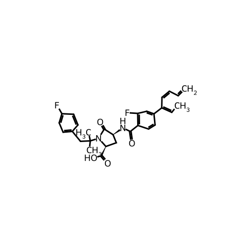 C=C/C=C\C(=C/C)c1ccc(C(=O)N[C@H]2C[C@@H](C(=O)O)N(C(C)(C)Cc3ccc(F)cc3)C2=O)c(F)c1